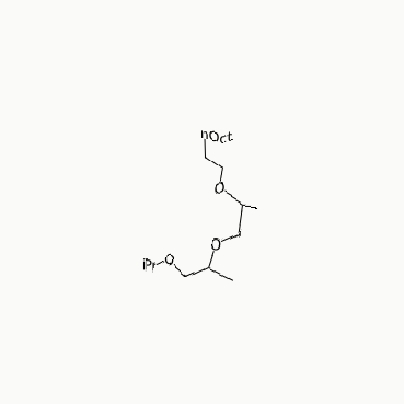 [CH2]C(C)OCC(C)OCC(C)OCCCCCCCCCC